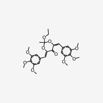 CCOC1(C)OC(=Cc2cc(OC)c(OC)c(OC)c2)C(=O)C(=Cc2cc(OC)c(OC)c(OC)c2)O1